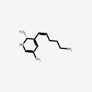 CC1=CN[C@H](C)C(/C=C\CCCN)=C1